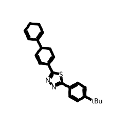 CC(C)(C)c1ccc(-c2nnc(C3=CCC(C4=CCCC=C4)C=C3)s2)cc1